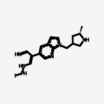 C[C@H]1CC(Cn2ccc3cc(/C(C=N)=C/NPI)cnc32)CN1